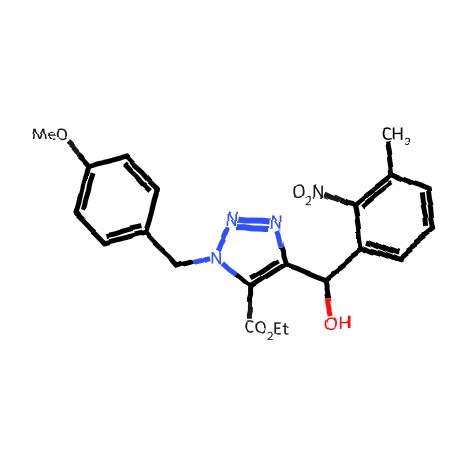 CCOC(=O)c1c(C(O)c2cccc(C)c2[N+](=O)[O-])nnn1Cc1ccc(OC)cc1